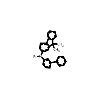 CC(C)N(c1cccc(-c2ccccc2)c1)c1ccc2c(c1)C(C)(C)c1ccccc1-2